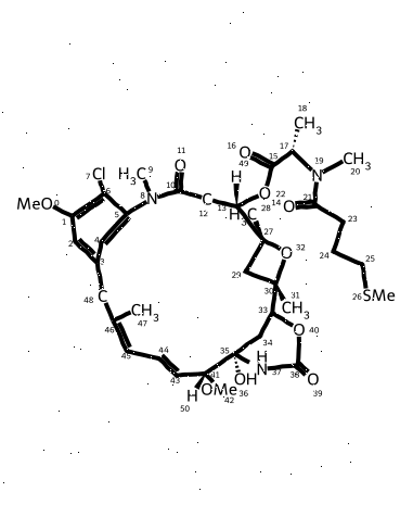 COc1cc2cc(c1Cl)N(C)C(=O)C[C@H](OC(=O)[C@H](C)N(C)C(=O)CCCSC)[C@@]1(C)C[C@](C)(O1)C1C[C@@](O)(NC(=O)O1)[C@H](OC)/C=C/C=C(\C)C2